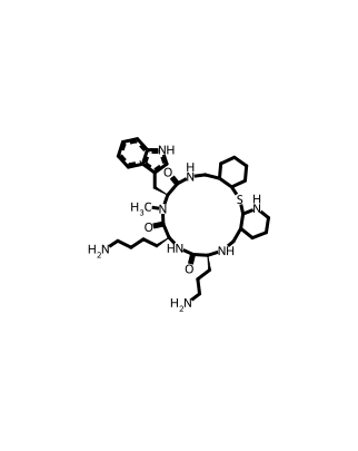 CN1C(=O)[C@H](CCCCN)NC(=O)[C@H](CCCN)NCC2CCCNC2SC2CCCCC2CNC(=O)[C@@H]1Cc1c[nH]c2ccccc12